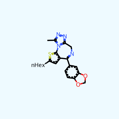 CCCCCCc1cc2c(s1)-n1c(C)nnc1CN=C2c1ccc2c(c1)OCO2